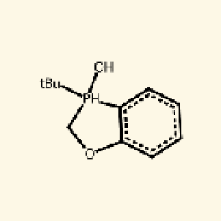 CC(C)(C)[PH]1(O)COc2ccc[c]c21